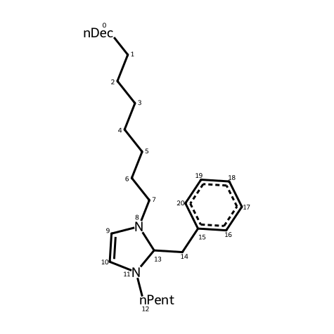 CCCCCCCCCCCCCCCCCN1C=CN(CCCCC)C1Cc1ccccc1